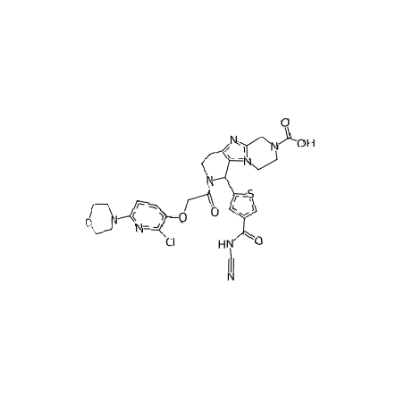 N#CNC(=O)c1csc(C2c3c(nc4n3CCN(C(=O)O)C4)CCN2C(=O)COc2ccc(N3CCOCC3)nc2Cl)c1